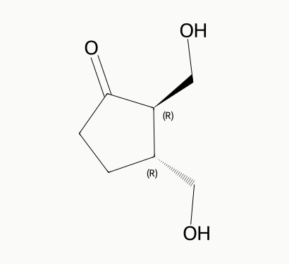 O=C1CC[C@@H](CO)[C@@H]1CO